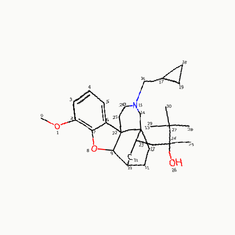 COc1cccc2c1OC1C3CCC4(CN(CC5CC5)CCC214)C(C(C)(O)C(C)(C)C)C3